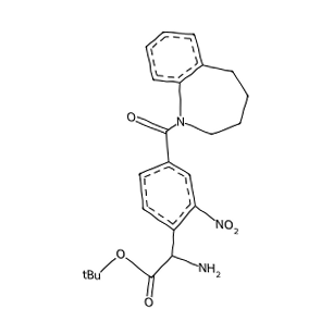 CC(C)(C)OC(=O)C(N)c1ccc(C(=O)N2CCCCc3ccccc32)cc1[N+](=O)[O-]